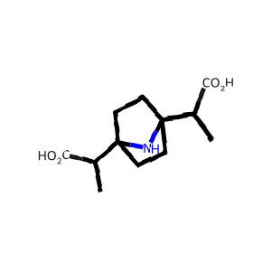 CC(C(=O)O)C12CCC(C(C)C(=O)O)(CC1)N2